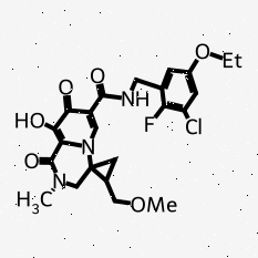 CCOc1cc(Cl)c(F)c(CNC(=O)c2cn3c(c(O)c2=O)C(=O)N(C)CC32CC2COC)c1